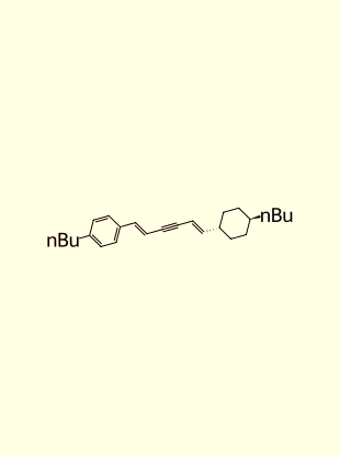 CCCCc1ccc(C=CC#CC=C[C@H]2CC[C@H](CCCC)CC2)cc1